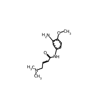 COc1ccc(NC(=O)/C=C/CN(C)C)cc1N